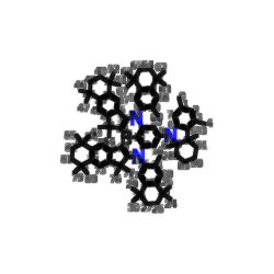 Cc1cc(C)c2c(c1)N(c1cc3c4c(c1)N(c1cc5c(cc1C)C(C)(C)CCC5(C)C)C1=C(B4C4=C(c5cc6c(cc5C4(C)C)C(C)(C)CCC6(C)C)N3c3cc4c(cc3C)C(C)(C)CCC4(C)C)c3cc4c(cc3C1(C)C)C(C)(C)CCC4(C)C)C1(C)CCCCC21C